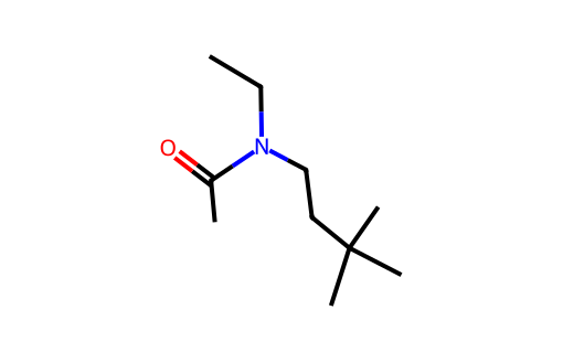 CCN(CCC(C)(C)C)C(C)=O